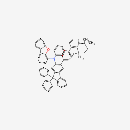 CC1(C)CCC(C)(C)c2c(-c3ccc(-c4cc5c(cc4N(c4ccccc4)c4cccc6c4oc4ccccc46)C(c4ccccc4)(c4ccccc4)c4ccccc4-5)cc3)cccc21